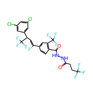 O=C(CCC(F)(F)F)NNC(=O)c1ccc(C(F)=CC(c2cc(Cl)cc(Cl)c2)C(F)(F)F)cc1C(F)(F)F